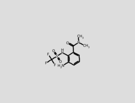 CN(C)C(=O)c1cccc(N)c1NS(=O)(=O)C(F)(F)F